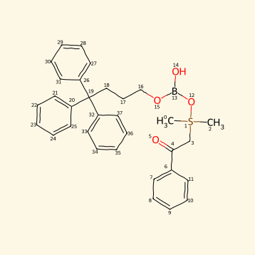 CS(C)(CC(=O)c1ccccc1)OB(O)OCCCC(c1ccccc1)(c1ccccc1)c1ccccc1